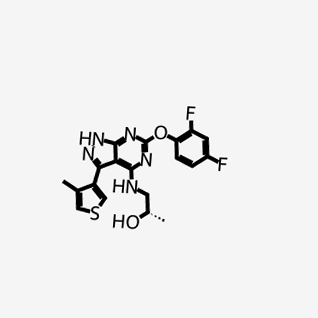 Cc1cscc1-c1n[nH]c2nc(Oc3ccc(F)cc3F)nc(NC[C@H](C)O)c12